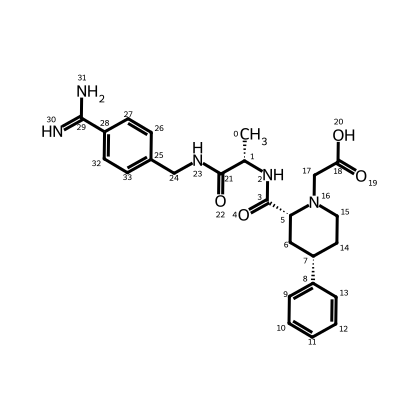 C[C@H](NC(=O)[C@H]1C[C@@H](c2ccccc2)CCN1CC(=O)O)C(=O)NCc1ccc(C(=N)N)cc1